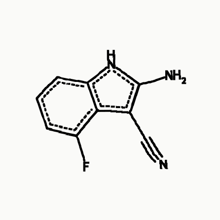 N#Cc1c(N)[nH]c2cccc(F)c12